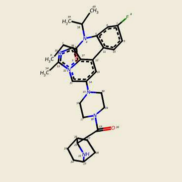 CCC(=O)N(c1cc(F)ccc1-c1cc(N2CCN(C(=O)C3NC4CCC3CC4)CC2)cn2c(C)ncc12)C(C)C